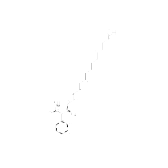 CCCCCCCCCCCCCCCC(=O)C(C(N)=O)c1ccccc1